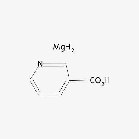 O=C(O)c1cccnc1.[MgH2]